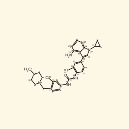 CN1CCN(Cc2ccc(NC(=O)Nc3ccc(-c4cn(C5CC5)c5ncnc(N)c45)cc3F)cc2Cl)CC1